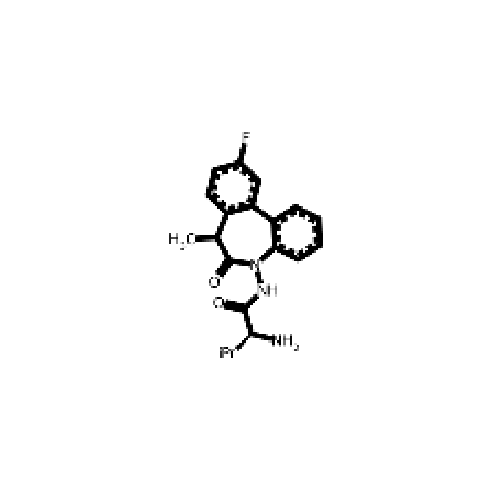 CC1C(=O)N(NC(=O)[C@@H](N)C(C)C)c2ccccc2-c2cc(F)ccc21